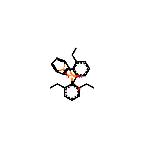 CCc1cccc(CC)c1P1(=O)C2=CC=C1C1=C2P1(=O)c1c(CC)cccc1CC